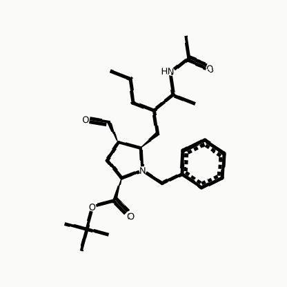 CCCC(C[C@@H]1[C@H](C=O)C[C@H](C(=O)OC(C)(C)C)N1Cc1ccccc1)C(C)NC(C)=O